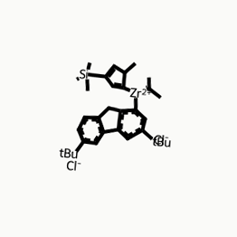 C[C](C)=[Zr+2]([C]1=CC([Si](C)(C)C)=CC1C)[c]1cc(C(C)(C)C)cc2c1Cc1ccc(C(C)(C)C)cc1-2.[Cl-].[Cl-]